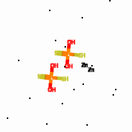 OP(O)(=S)S.OP(O)(=S)S.[Zn].[Zn]